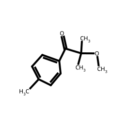 COC(C)(C)C(=O)c1ccc(C)cc1